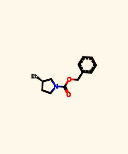 CC[C@@H]1CCN(C(=O)OCc2ccccc2)C1